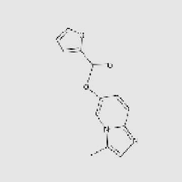 Cc1cnc2ccc(OC(=O)c3ccco3)cn12